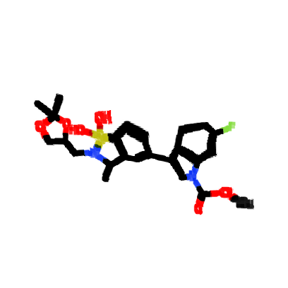 CC1c2cc(-c3cn(C(=O)OC(C)(C)C)c4cc(F)ccc34)ccc2S(O)(O)N1CC1COC(C)(C)O1